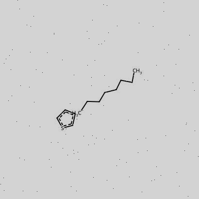 CCCCCCCC.c1ccsc1